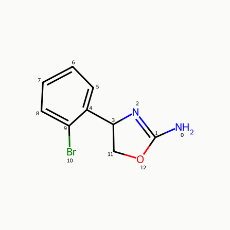 NC1=NC(c2ccccc2Br)CO1